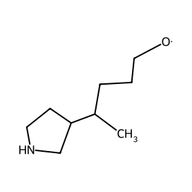 CC(CCC[O])C1CCNC1